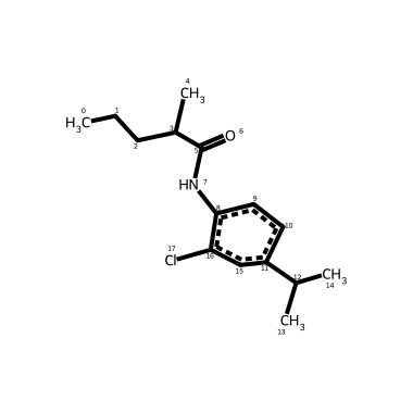 CCCC(C)C(=O)Nc1ccc(C(C)C)cc1Cl